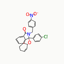 O=C1c2ccccc2C(OC2C=CCCC2)(c2ccc(Cl)cc2)N1Cc1ccc([N+](=O)[O-])cc1